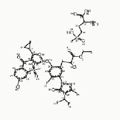 CCOC(=O)C(Cl)Cc1cc(-n2nc(C)n(C(F)F)c2=O)c(F)cc1Cl.CP(=O)(O)CCC(N)C(=O)O.CS(=O)(=O)c1cc(Cl)ccc1C(=O)c1cnoc1C1CC1